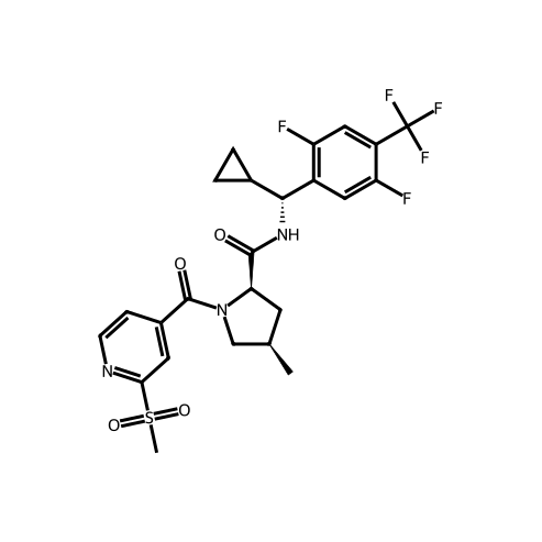 C[C@@H]1C[C@H](C(=O)N[C@@H](c2cc(F)c(C(F)(F)F)cc2F)C2CC2)N(C(=O)c2ccnc(S(C)(=O)=O)c2)C1